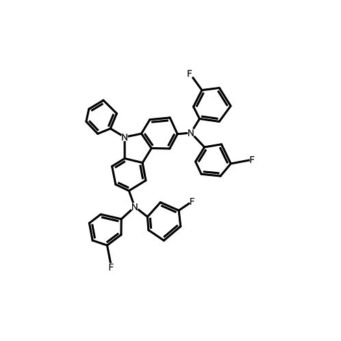 Fc1cccc(N(c2cccc(F)c2)c2ccc3c(c2)c2cc(N(c4cccc(F)c4)c4cccc(F)c4)ccc2n3-c2ccccc2)c1